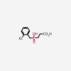 CCc1ccccc1CP(=O)(O)CCC(=O)O